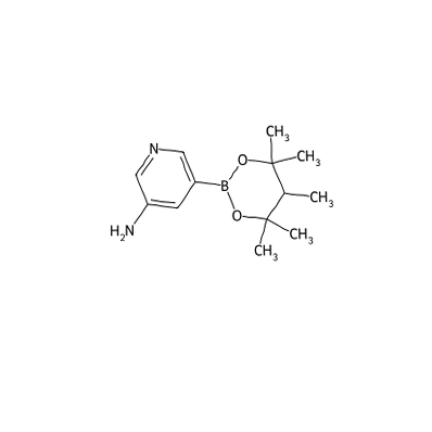 CC1C(C)(C)OB(c2cncc(N)c2)OC1(C)C